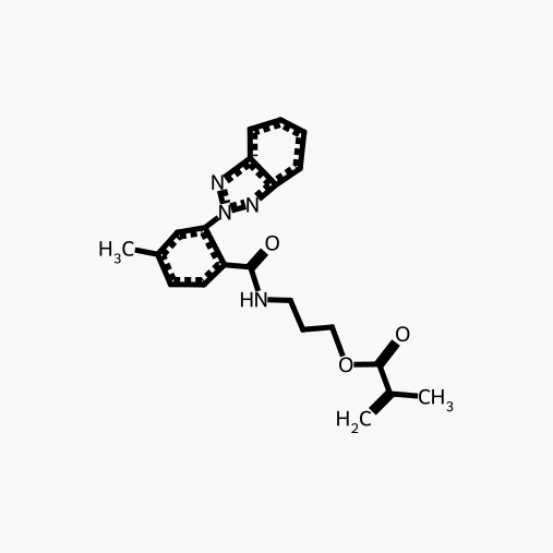 C=C(C)C(=O)OCCCNC(=O)c1ccc(C)cc1-n1nc2ccccc2n1